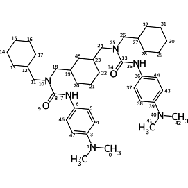 CN(C)c1ccc(NC(=O)N(CC2CCCCC2)CC2CCCC(CN(CC3CCCCC3)C(=O)Nc3ccc(N(C)C)cc3)C2)cc1